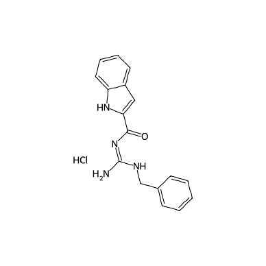 Cl.NC(=NC(=O)c1cc2ccccc2[nH]1)NCc1ccccc1